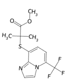 COC(=O)C(C)(C)Sc1ccc(C(F)(F)F)n2ccnc12